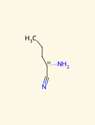 CCC[C@H](N)C#N